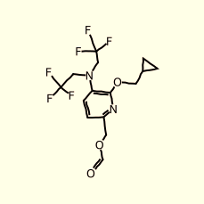 O=COCc1ccc(N(CC(F)(F)F)CC(F)(F)F)c(OCC2CC2)n1